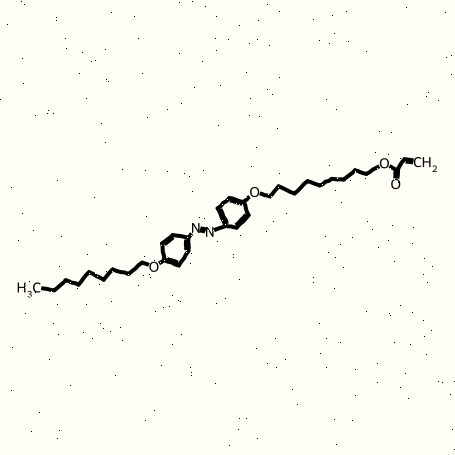 C=CC(=O)OCCCCCCCCCOc1ccc(N=Nc2ccc(OCCCCCCCCC)cc2)cc1